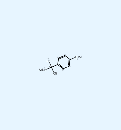 CCC(C#N)(NC(C)=O)c1ccc(OC)cc1